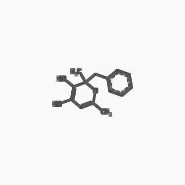 CC1=CC(O)=C(O)C(C)(Cc2ccccc2)O1